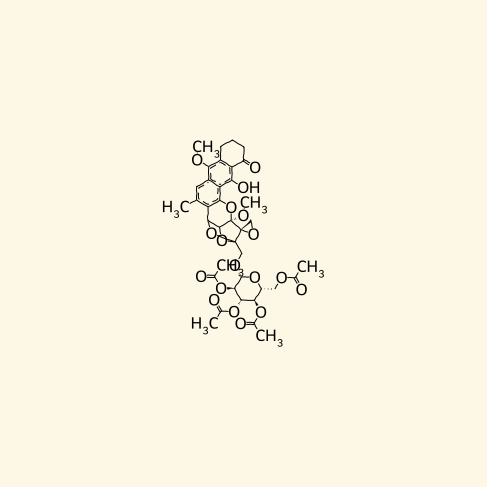 COc1c2c(c(O)c3c4c(c(C)cc13)C1OC3(CO[C@@H]5O[C@H](COC(C)=O)[C@@H](OC(C)=O)[C@H](OC(C)=O)[C@H]5OC(C)=O)OC1[C@@](OC)(O4)[C@@]31CO1)C(=O)CCC2